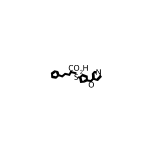 O=C(c1ccncc1)c1ccc(SCC(CCCc2ccccc2)C(=O)O)cc1